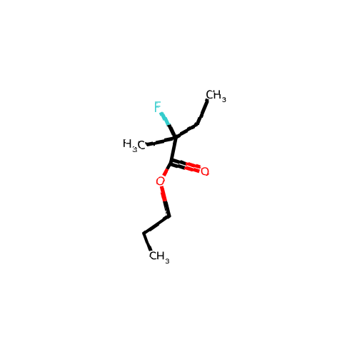 CCCOC(=O)C(C)(F)CC